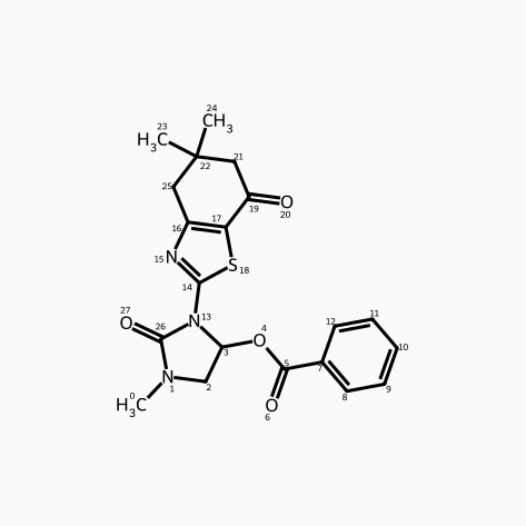 CN1CC(OC(=O)c2ccccc2)N(c2nc3c(s2)C(=O)CC(C)(C)C3)C1=O